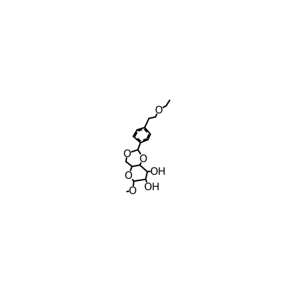 CCOCCc1ccc(C2OCC3OC(OC)C(O)C(O)C3O2)cc1